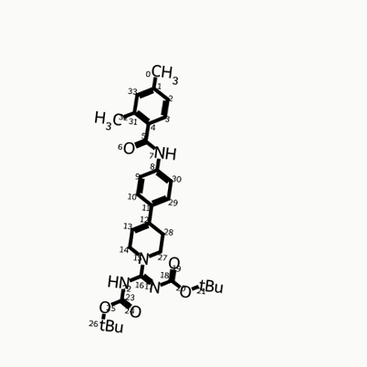 Cc1ccc(C(=O)Nc2ccc(C3=CCN(/C(=N\C(=O)OC(C)(C)C)NC(=O)OC(C)(C)C)CC3)cc2)c(C)c1